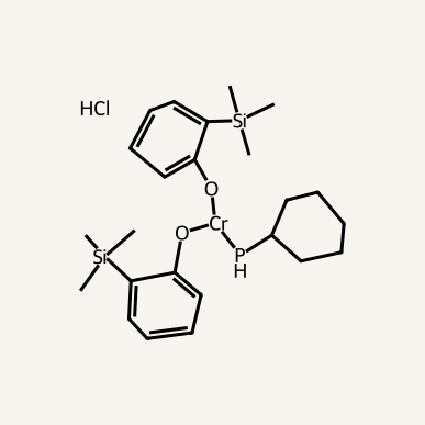 C[Si](C)(C)c1ccccc1[O][Cr]([O]c1ccccc1[Si](C)(C)C)[PH]C1CCCCC1.Cl